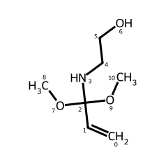 C=CC(NCCO)(OC)OC